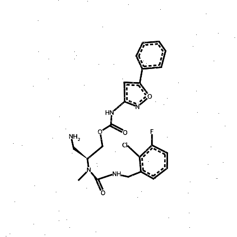 CN(C(=O)NCc1cccc(F)c1Cl)[C@@H](CN)COC(=O)Nc1cc(-c2ccccc2)on1